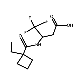 CCC1(C(=O)NC(CC(=O)O)C(F)(F)F)CCC1